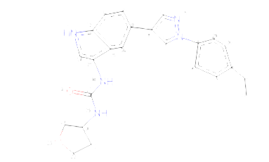 CCc1ccc(-n2cc(-c3ccc4[nH]cc(NC(=O)NC5CCOC5)c4c3)cn2)cc1